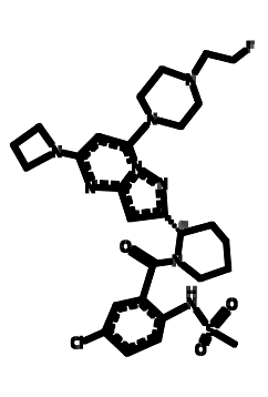 CS(=O)(=O)Nc1ccc(Cl)cc1C(=O)N1CCCC[C@H]1c1cc2nc(N3CCC3)cc(N3CCN(CCF)CC3)n2n1